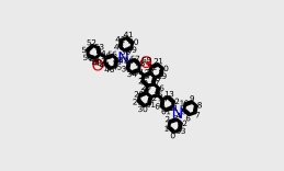 c1ccc(N(c2ccccc2)c2ccc(-c3cc4c5cccc6c5c(cc4c4ccccc34)-c3ccc(N(c4ccccc4)c4ccc5oc7ccccc7c5c4)cc3O6)cc2)cc1